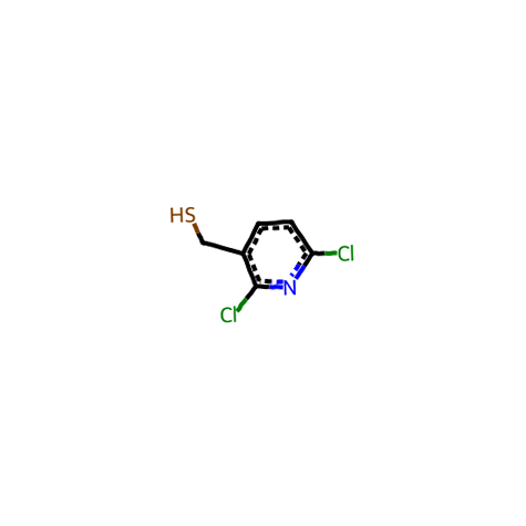 SCc1ccc(Cl)nc1Cl